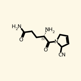 N#CC1C=CCN1C(=O)[C@@H](N)CCC(N)=O